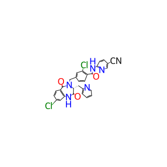 N#Cc1ccc(NC(=O)c2ccc(CN3C(=O)c4ccc(Cl)cc4NC(=O)[C@H]3Cc3ccccn3)cc2Cl)nc1